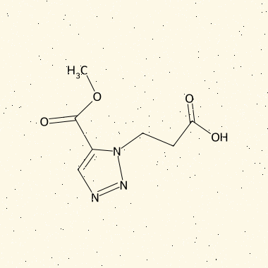 COC(=O)c1cnnn1CCC(=O)O